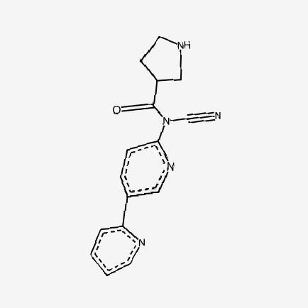 N#CN(C(=O)C1CCNC1)c1ccc(-c2ccccn2)cn1